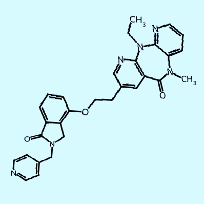 CCN1c2ncc(CCOc3cccc4c3CN(Cc3ccncc3)C4=O)cc2C(=O)N(C)c2cccnc21